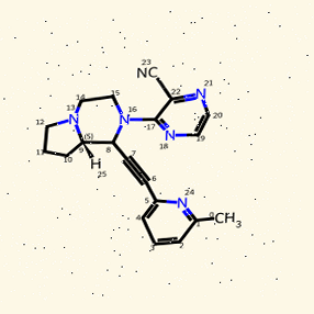 Cc1cccc(C#CC2[C@@H]3CCCN3CCN2c2nccnc2C#N)n1